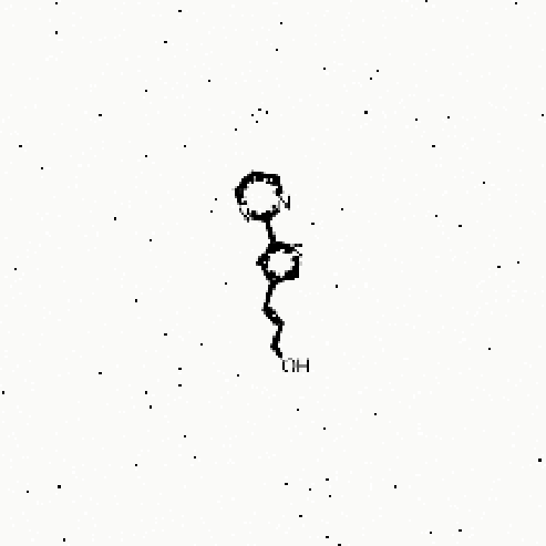 OC/C=C/c1csc(-c2ncccn2)c1